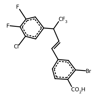 O=C(O)c1ccc(/C=C/C(c2cc(F)c(F)c(Cl)c2)C(F)(F)F)cc1Br